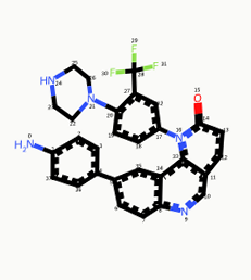 Nc1ccc(-c2ccc3ncc4ccc(=O)n(-c5ccc(N6CCNCC6)c(C(F)(F)F)c5)c4c3c2)cc1